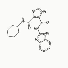 O=C(NC1CCCCC1)c1nc[nH]c1C(=O)Nc1nc2ccccc2[nH]1